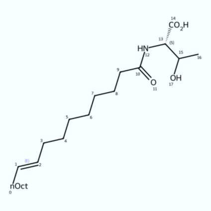 CCCCCCCC/C=C/CCCCCCCC(=O)N[C@H](C(=O)O)C(C)O